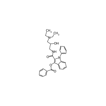 CCN(CC)CC(O)CNC(=O)c1c(OC(=O)c2ccccc2)c2ccccc2n1-c1ccccc1